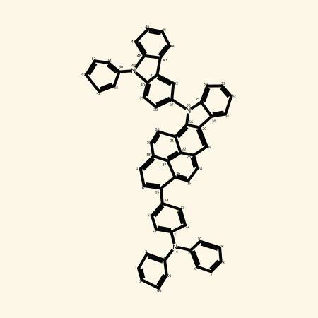 c1ccc(N(c2ccccc2)c2ccc(-c3ccc4ccc5c6c(ccc3c46)cc3c4ccccc4n(-c4ccc6c(c4)c4ccccc4n6-c4ccccc4)c35)cc2)cc1